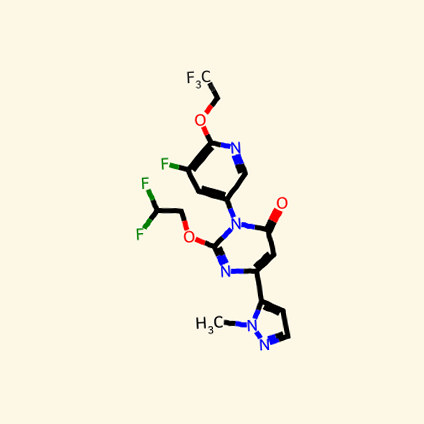 Cn1nccc1-c1cc(=O)n(-c2cnc(OCC(F)(F)F)c(F)c2)c(OCC(F)F)n1